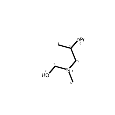 CCCC(C)CN(C)CO